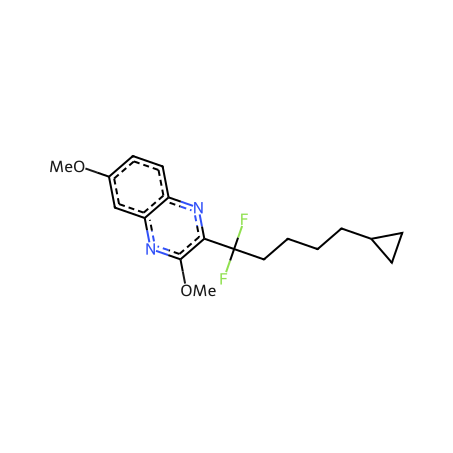 COc1ccc2nc(C(F)(F)CCCCC3CC3)c(OC)nc2c1